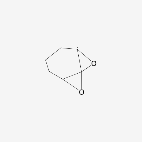 C1C[C]2OC23OC3C1